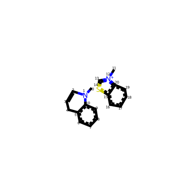 CN1C=CCc2ccccc21.C[n+]1csc2ccccc21